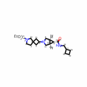 CCOC(=O)N1CCC2(CC(N3C[C@@H]4[C@H](C3)[C@H]4C(=O)NCC3CCC3)C2)C1